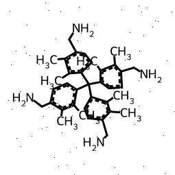 Cc1c(CN)ccc(C(c2ccc(CN)c(C)c2C)(c2ccc(CN)c(C)c2C)c2ccc(CN)c(C)c2C)c1C